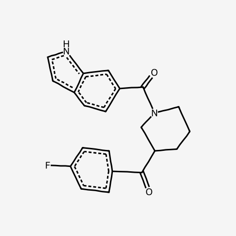 O=C(c1ccc(F)cc1)C1CCCN(C(=O)c2ccc3cc[nH]c3c2)C1